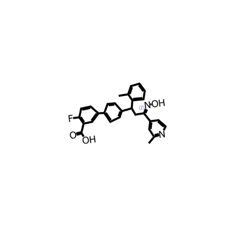 Cc1cc(/C(CC(c2ccc(-c3ccc(F)c(C(=O)O)c3)cc2)c2ccccc2C)=N\O)ccn1